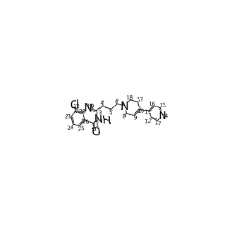 O=c1[nH]c(CCCN2CC=C(c3ccncc3)CC2)nc2c(Cl)cccc12